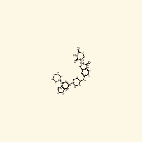 O=C1CCN(N2Cc3cc(CN4CCN(c5nc6c(c(N7CCOCC7)n5)SCC6)CC4)ccc3C2=O)C(=O)N1